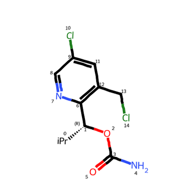 CC(C)[C@@H](OC(N)=O)c1ncc(Cl)cc1CCl